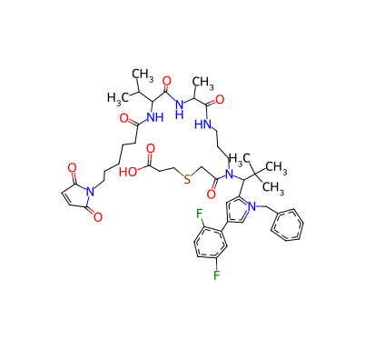 CC(NC(=O)C(NC(=O)CCCCCN1C(=O)C=CC1=O)C(C)C)C(=O)NCCCN(C(=O)CSCCC(=O)O)C(c1cc(-c2cc(F)ccc2F)cn1Cc1ccccc1)C(C)(C)C